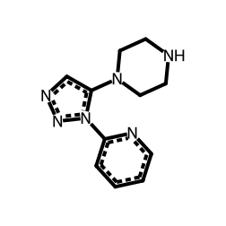 c1ccc(-n2nncc2N2CCNCC2)nc1